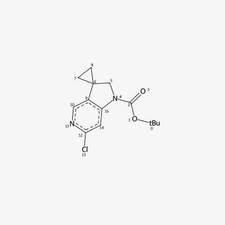 CC(C)(C)OC(=O)N1CC2(CC2)c2cnc(Cl)cc21